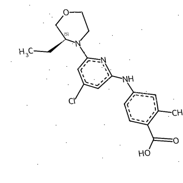 CC[C@H]1COCCN1c1cc(Cl)cc(Nc2ccc(C(=O)O)c(C)c2)n1